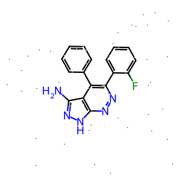 Nc1n[nH]c2nnc(-c3ccccc3F)c(-c3ccccc3)c12